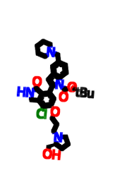 CC(C)(C)OC(=O)n1c(-c2cc(OCCCN3CCC[C@H]3CO)c(Cl)c3c2C(=O)NC3)cc2cc(CN3CCCCC3)ccc21